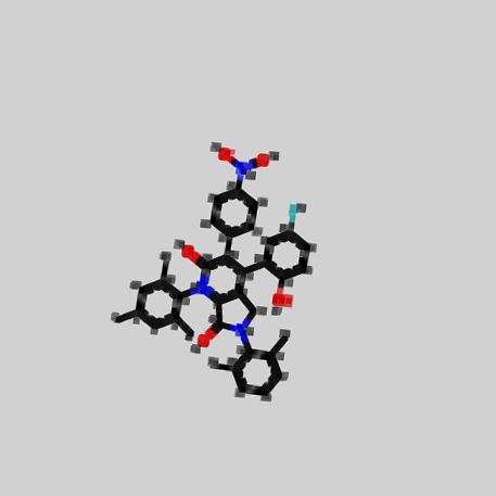 Cc1cc(C)c(-n2c3c(c(-c4cc(F)ccc4O)c(-c4ccc([N+](=O)[O-])cc4)c2=O)CN(c2c(C)cccc2C)C3=O)c(C)c1